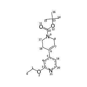 CCOc1cc(C2=CCN(C(=O)OC(C)(C)C)CC2)ccn1